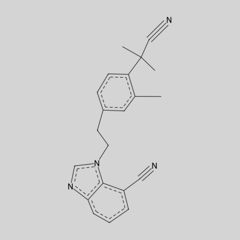 Cc1cc(CCn2cnc3cccc(C#N)c32)ccc1C(C)(C)C#N